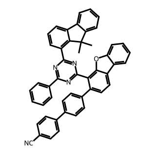 CC1(C)c2ccccc2-c2cccc(-c3nc(-c4ccccc4)nc(-c4c(-c5ccc(-c6ccc(C#N)cc6)cc5)ccc5c4oc4ccccc45)n3)c21